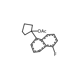 CC(=O)OC1(c2cccc3c(F)cccc23)CCCC1